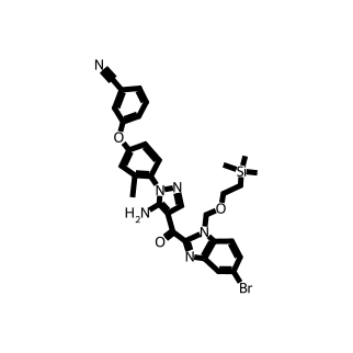 Cc1cc(Oc2cccc(C#N)c2)ccc1-n1ncc(C(=O)c2nc3cc(Br)ccc3n2COCC[Si](C)(C)C)c1N